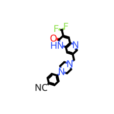 N#Cc1ccc(N2CCN(Cc3cnc4cc(C(F)F)c(=O)[nH]c4c3)CC2)cc1